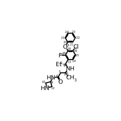 CC[C@@H](N[C@@H](C)CC(=O)NC1CNC1)c1ccc(Cl)c(Oc2ccccc2)c1F